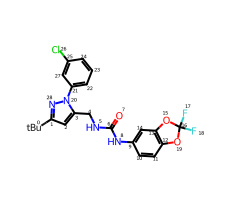 CC(C)(C)c1cc(CNC(=O)Nc2ccc3c(c2)OC(F)(F)O3)n(-c2cccc(Cl)c2)n1